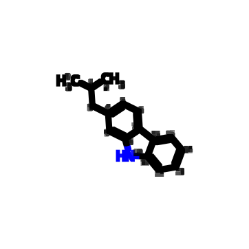 CC(C)Cc1ccc2c(c1)[nH]c1ccccc12